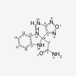 NC(=O)CC1(c2nonc2N)Nc2ccccc2N1